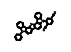 N#Cc1ccc(C#N)c(-n2c3ccccc3c3c4sc5c(ccc6c5c5ccccc5n6-c5ccccc5)c4ccc32)c1